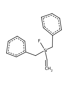 C=C[Si](F)(Cc1ccccc1)Cc1ccccc1